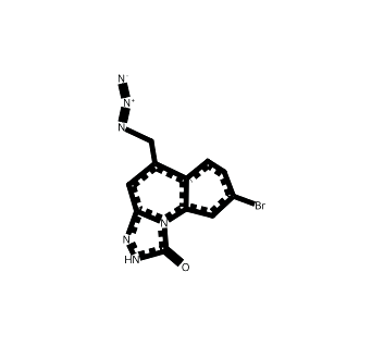 [N-]=[N+]=NCc1cc2n[nH]c(=O)n2c2cc(Br)ccc12